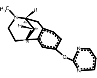 CN1CC[C@]23CCCC[C@H]2[C@H]1Cc1ccc(Oc2ncccn2)cc13